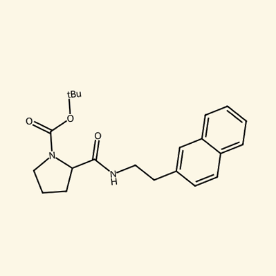 CC(C)(C)OC(=O)N1CCCC1C(=O)NCCc1ccc2ccccc2c1